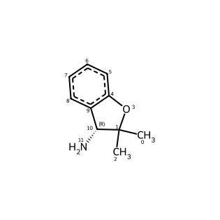 CC1(C)Oc2ccccc2[C@H]1N